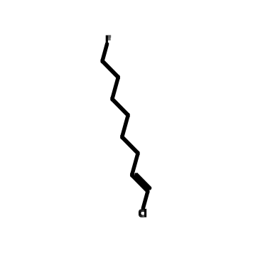 FCCCCCCC=CCl